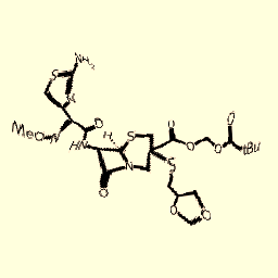 CON=C(C(=O)NC1C(=O)N2CC(SCC3COCO3)(C(=O)OCOC(=O)C(C)(C)C)CS[C@H]12)c1csc(N)n1